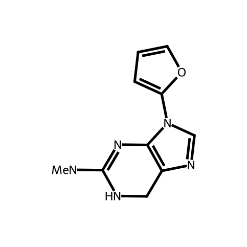 CNC1=Nc2c(ncn2-c2ccco2)CN1